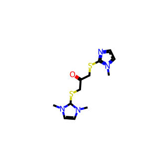 CN1C=CN(C)C1SCC(=O)CSc1nccn1C